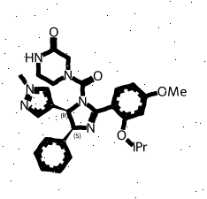 COc1ccc(C2=N[C@@H](c3ccccc3)[C@@H](c3cnn(C)c3)N2C(=O)N2CCNC(=O)C2)c(OC(C)C)c1